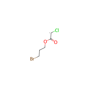 O=C([CH]Cl)OCCCBr